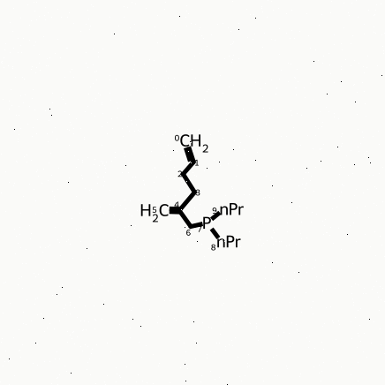 C=CCCC(=C)CP(CCC)CCC